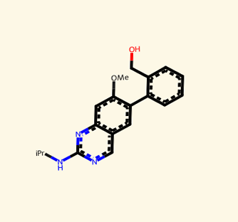 COc1cc2nc(NC(C)C)ncc2cc1-c1ccccc1CO